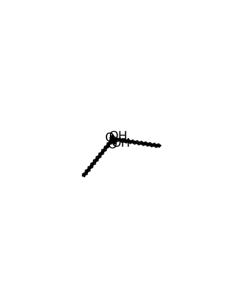 CCCCCCCCCCCCCCCCCCCCCCC(CCCCCCCCCCCCCCCCCCCCCC)(C(=O)O)C(=O)O